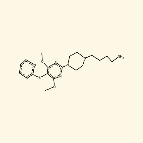 COc1nc(N2CCN(CCCCN)CC2)nc(OC)c1Sc1ncccn1